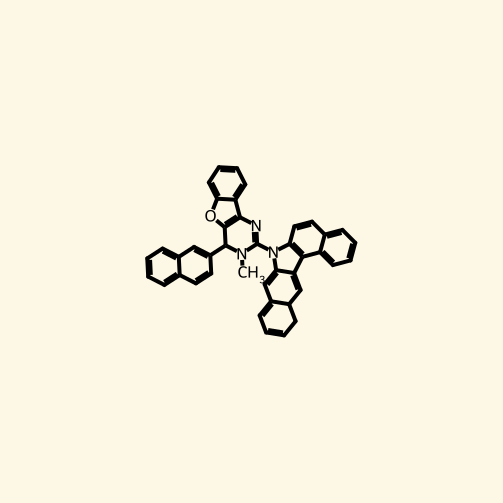 CN1C(n2c3c(c4c5ccccc5ccc42)=CC2CC=CC=C2C=3)=Nc2c(oc3ccccc23)C1c1ccc2ccccc2c1